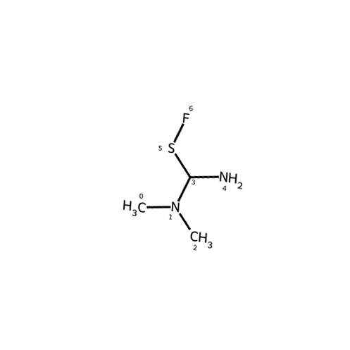 CN(C)C(N)SF